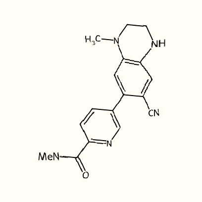 CNC(=O)c1ccc(-c2cc3c(cc2C#N)NCCN3C)cn1